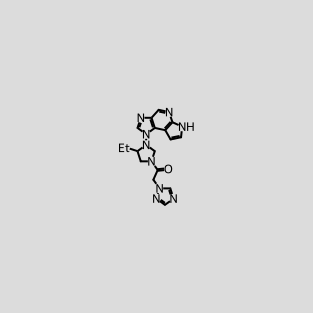 CCC1CN(C(=O)Cn2cncn2)CN1n1cnc2cnc3[nH]ccc3c21